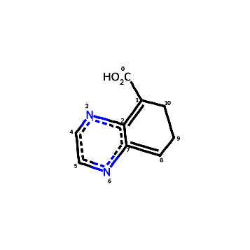 O=C(O)C1=c2nccnc2=CCC1